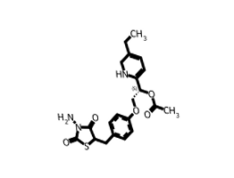 CCC1=CC=C([C@@H](COc2ccc(CC3SC(=O)N(N)C3=O)cc2)OC(C)=O)NC1